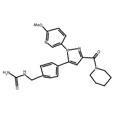 COc1ccc(-n2nc(C(=O)N3CCCCC3)cc2-c2ccc(CNC(N)=O)cc2)cn1